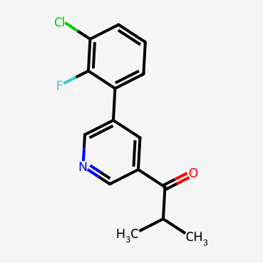 CC(C)C(=O)c1cncc(-c2cccc(Cl)c2F)c1